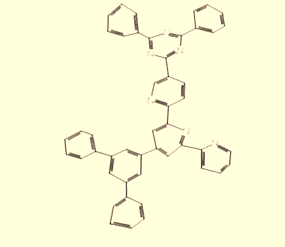 c1ccc(-c2cc(-c3ccccc3)cc(-c3cc(-c4ccccn4)nc(-c4ccc(-c5nc(-c6ccccc6)nc(-c6ccccc6)n5)cn4)c3)c2)cc1